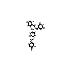 Fc1ccc(OC[C@H]2CC[C@@H](CN(Cc3ccccc3)Cc3ccccc3)CC2)cc1